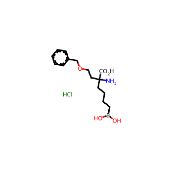 Cl.NC(CCCCB(O)O)(CCOCc1ccccc1)C(=O)O